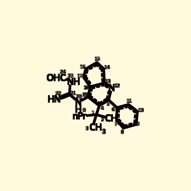 CCCC(C)(C)c1c(-c2ccccc2)nc2ccccc2c1NC(=N)NC=O